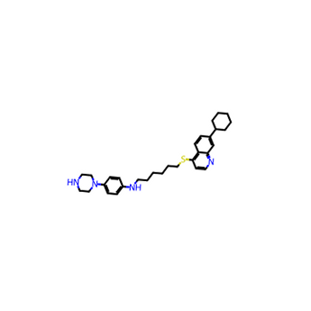 c1cc(SCCCCCCNc2ccc(N3CCNCC3)cc2)c2ccc(C3CCCCC3)cc2n1